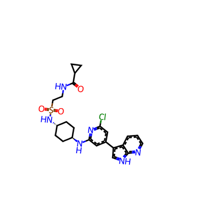 O=C(NCCS(=O)(=O)N[C@H]1CC[C@H](Nc2cc(-c3c[nH]c4ncccc34)cc(Cl)n2)CC1)C1CC1